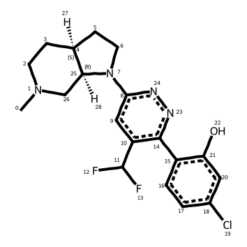 CN1CC[C@H]2CCN(c3cc(C(F)F)c(-c4ccc(Cl)cc4O)nn3)[C@H]2C1